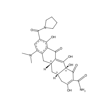 CN(C)c1cc(C(=O)N2CCCC2)c(O)c2c1C[C@H]1C[C@H]3CC(O)=C(C(N)=O)C(=O)[C@@]3(O)C(O)=C1C2=O